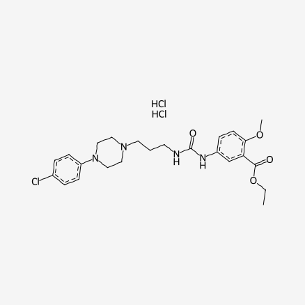 CCOC(=O)c1cc(NC(=O)NCCCN2CCN(c3ccc(Cl)cc3)CC2)ccc1OC.Cl.Cl